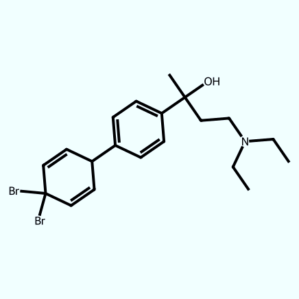 CCN(CC)CCC(C)(O)c1ccc(C2C=CC(Br)(Br)C=C2)cc1